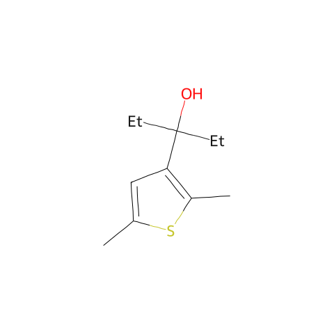 CCC(O)(CC)c1cc(C)sc1C